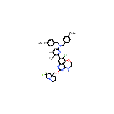 COc1ccc(CN(Cc2ccc(OC)cc2)c2cc(C)c(C(F)(F)F)c(-c3cc4nc(OCC56CCCN5CC(F)(F)C6)nc5c4c(c3Cl)OCCN5C)n2)cc1